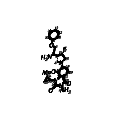 COc1c(N2C[C@H]([C@@H](N)COc3ccccc3)[C@H](F)C2)ccc2c(=O)n(N)c(=O)n(C3CC3)c12